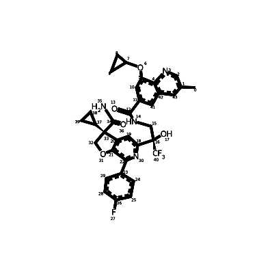 Cc1cnc2c(OC3CC3)cc(C(=O)NC[C@](O)(c3cc4c(c(-c5ccc(F)cc5)n3)OC[C@@]4(C(N)=O)C3CC3)C(F)(F)F)cc2c1